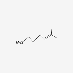 [CH2]SCCCC=C(C)C